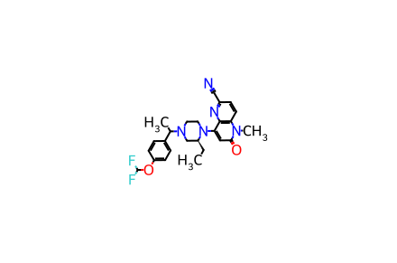 CC[C@H]1CN(C(C)c2ccc(OC(F)F)cc2)CCN1c1cc(=O)n(C)c2ccc(C#N)nc12